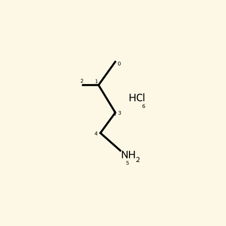 CC(C)[CH]CN.Cl